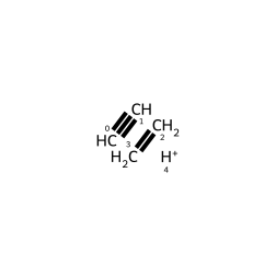 C#C.C=C.[H+]